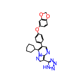 c1cc(-c2cnc3c(-c4nnn[nH]4)cnn3c2C2CCCCC2)ccc1Oc1ccc2c(c1)OCO2